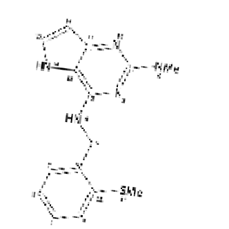 CNc1nc(NCc2ccccc2SC)c2[nH]ccc2n1